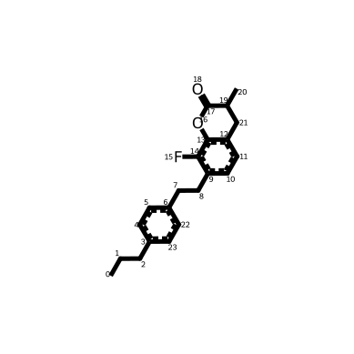 CCCc1ccc(CCc2ccc3c(c2F)OC(=O)C(C)C3)cc1